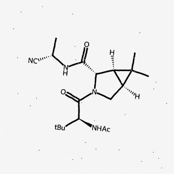 CC(=O)N[C@H](C(=O)N1C[C@H]2[C@@H]([C@H]1C(=O)N[C@@H](C)C#N)C2(C)C)C(C)(C)C